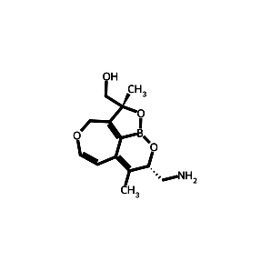 CC1=C2C=COCC3=C2B(O[C@@H]1CN)O[C@@]3(C)CO